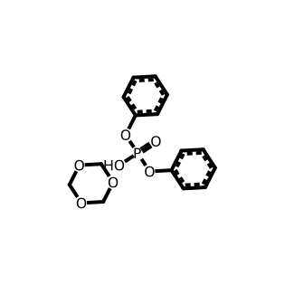 C1OCOCO1.O=P(O)(Oc1ccccc1)Oc1ccccc1